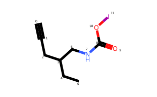 C#CCC(CC)CNC(=O)OI